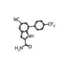 N#Cc1cc(-c2ccc(C(F)(F)F)cc2)c2[nH]c(C(N)=O)cc2c1